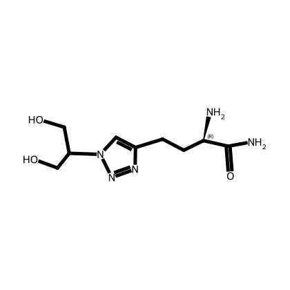 NC(=O)[C@H](N)CCc1cn(C(CO)CO)nn1